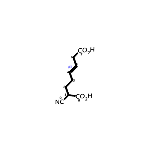 N#CC(CC/C=C/CC(=O)O)C(=O)O